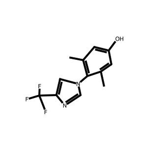 Cc1cc(O)cc(C)c1-n1cnc(C(F)(F)F)c1